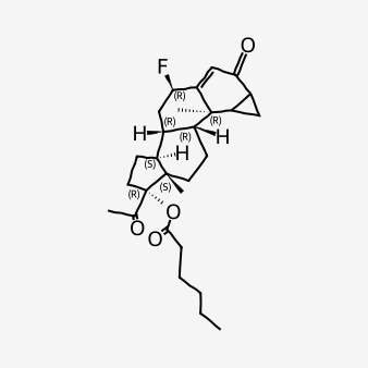 CCCCCC(=O)O[C@]1(C(C)=O)CC[C@H]2[C@@H]3C[C@@H](F)C4=CC(=O)C5CC5[C@@]4(C)[C@@H]3CC[C@@]21C